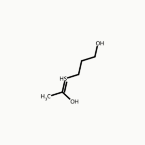 CC(O)=[SH]CCCO